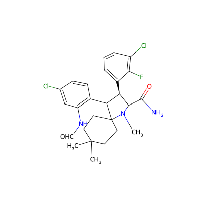 CN1C(C(N)=O)[C@H](c2cccc(Cl)c2F)C(c2ccc(Cl)cc2NC=O)C12CCC(C)(C)CC2